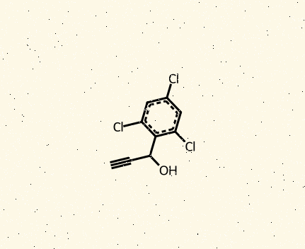 C#CC(O)c1c(Cl)cc(Cl)cc1Cl